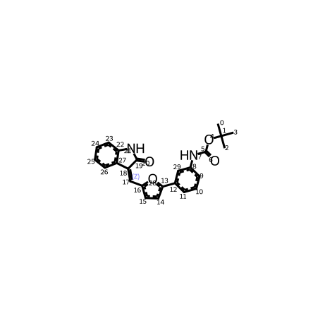 CC(C)(C)OC(=O)Nc1cccc(-c2ccc(/C=C3\C(=O)Nc4ccccc43)o2)c1